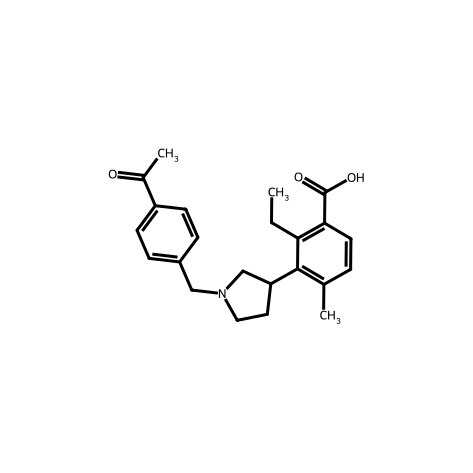 CCc1c(C(=O)O)ccc(C)c1C1CCN(Cc2ccc(C(C)=O)cc2)C1